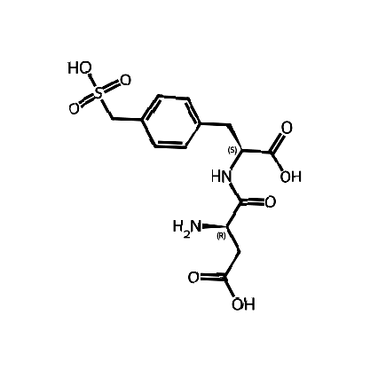 N[C@H](CC(=O)O)C(=O)N[C@@H](Cc1ccc(CS(=O)(=O)O)cc1)C(=O)O